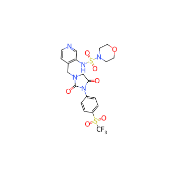 O=C1CN(Cc2ccncc2NS(=O)(=O)N2CCOCC2)C(=O)N1c1ccc(S(=O)(=O)C(F)(F)F)cc1